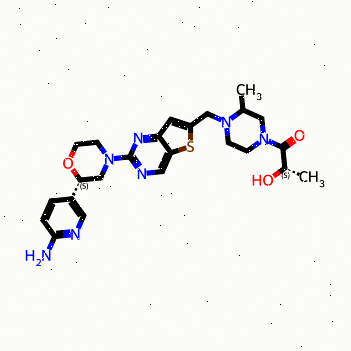 CC1CN(C(=O)[C@H](C)O)CCN1Cc1cc2nc(N3CCO[C@@H](c4ccc(N)nc4)C3)ncc2s1